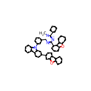 C=N/C(=N\C(=N/Cc1cccc(-n2c3ccccc3c3ccc(-c4ccc5c(c4)oc4ccccc45)cc32)c1)c1cccc2oc3ccccc3c12)c1ccccc1